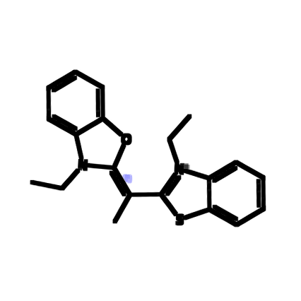 CCN1/C(=C(\C)c2sc3ccccc3[n+]2CC)Oc2ccccc21